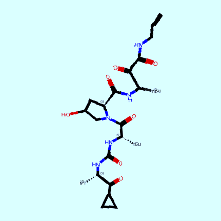 C=CCNC(=O)C(=O)C(CCCC)NC(=O)[C@@H]1CC(O)CN1C(=O)[C@@H](NC(=O)N[C@H](C(=O)C1CC1)C(C)C)C(C)(C)C